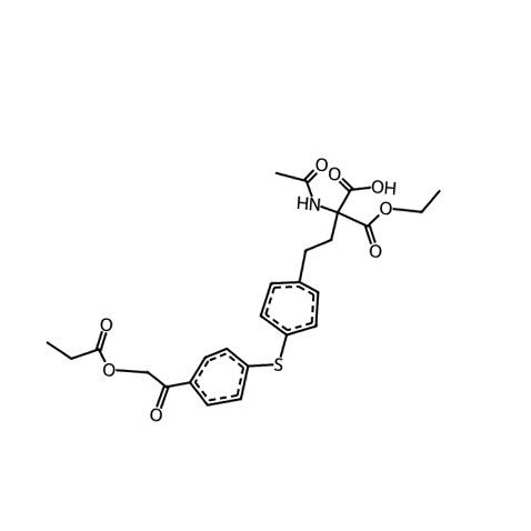 CCOC(=O)C(CCc1ccc(Sc2ccc(C(=O)COC(=O)CC)cc2)cc1)(NC(C)=O)C(=O)O